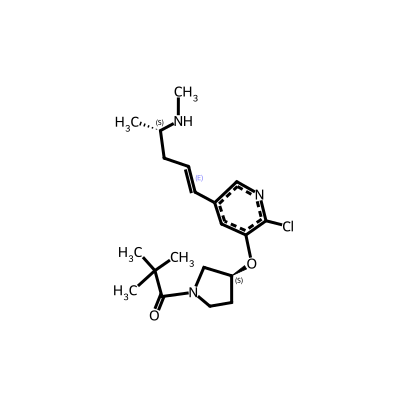 CN[C@@H](C)C/C=C/c1cnc(Cl)c(O[C@H]2CCN(C(=O)C(C)(C)C)C2)c1